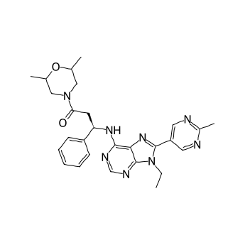 CCn1c(-c2cnc(C)nc2)nc2c(N[C@H](CC(=O)N3CC(C)OC(C)C3)c3ccccc3)ncnc21